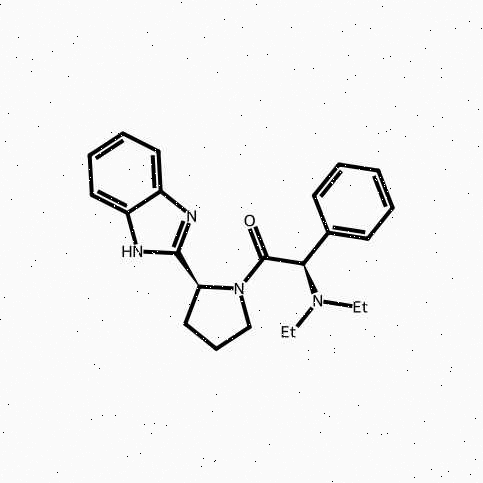 CCN(CC)[C@@H](C(=O)N1CCC[C@H]1c1nc2ccccc2[nH]1)c1ccccc1